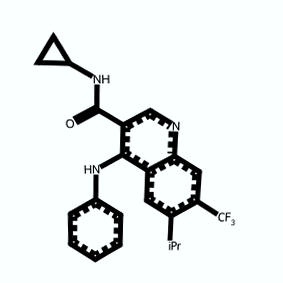 CC(C)c1cc2c(Nc3ccccc3)c(C(=O)NC3CC3)cnc2cc1C(F)(F)F